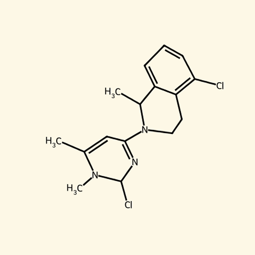 CC1=CC(N2CCc3c(Cl)cccc3C2C)=NC(Cl)N1C